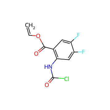 C=COC(=O)c1cc(F)c(F)cc1NC(=O)Cl